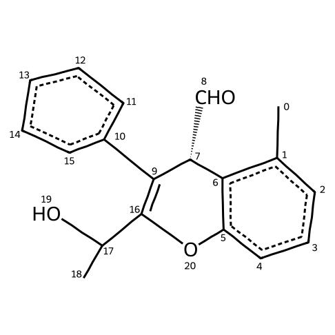 Cc1cccc2c1[C@@H](C=O)C(c1ccccc1)=C(C(C)O)O2